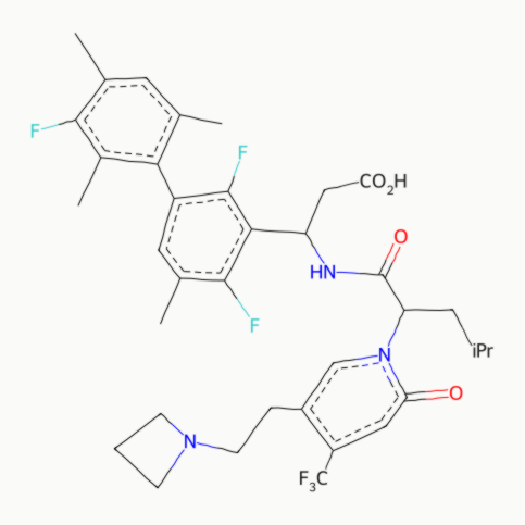 Cc1cc(C)c(-c2cc(C)c(F)c(C(CC(=O)O)NC(=O)C(CC(C)C)n3cc(CCN4CCC4)c(C(F)(F)F)cc3=O)c2F)c(C)c1F